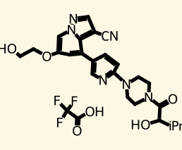 CC(C)C(O)C(=O)N1CCN(c2ccc(-c3cc(OCCO)cn4ncc(C#N)c34)cn2)CC1.O=C(O)C(F)(F)F